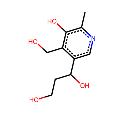 Cc1ncc(C(O)CCO)c(CO)c1O